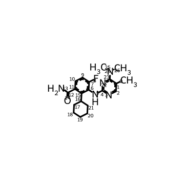 Cc1cnc(Nc2c(F)ccc(C(N)=O)c2C2CCCCC2)nc1N(C)C